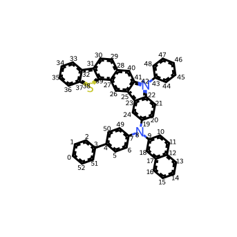 c1ccc(-c2ccc(N(c3ccc4ccccc4c3)c3ccc4c(c3)c3cc5c(ccc6c7ccccc7sc56)cc3n4-c3ccccc3)cc2)cc1